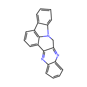 c1ccc2nc3c(nc2c1)Cn1c2ccccc2c2cccc-3c21